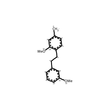 [CH2]c1ccc([CH]Cc2cccc(OC)c2)c(OC)c1